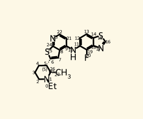 CCN1CCC[C@H](c2cc3c(Nc4ccc5scnc5c4F)ccnc3s2)[C@H]1C